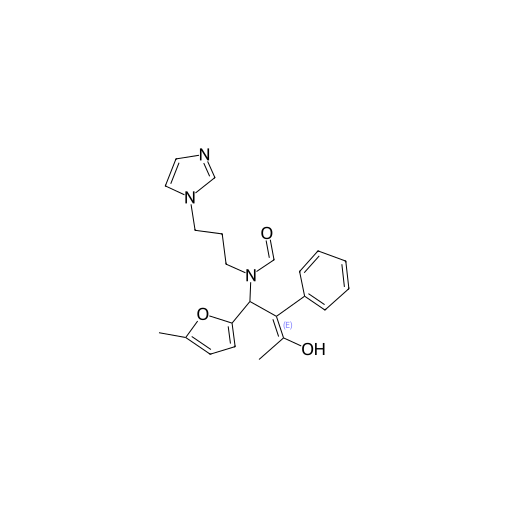 C/C(O)=C(/c1ccccc1)C(c1ccc(C)o1)N(C=O)CCCn1ccnc1